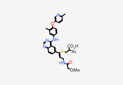 COCC(=O)NCC=C(SCC(C(C)=O)C(=O)O)c1ccc2ncnc(Nc3ccc(Oc4ccc(C)nc4)c(C)c3)c2c1